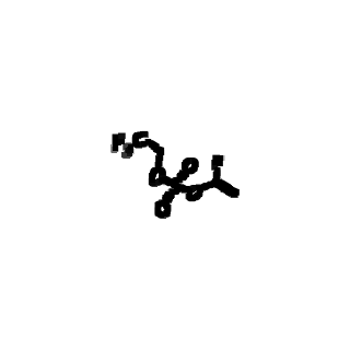 C=C(F)OS(=O)(=O)OCC(F)(F)F